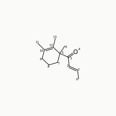 CC=CC(=O)C1(C)CCCC(C)=C1C